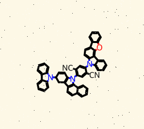 N#Cc1cc(-n2c3ccccc3c3c4oc5ccccc5c4ccc32)c(C#N)cc1-n1c2c(c3ccc4ccccc4c31)CC(n1c3ccccc3c3ccccc31)C=C2